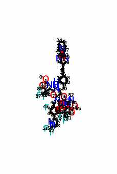 COC(=O)NC(C(=O)N[C@@H](Cc1ccc(C#Cc2cnc(N3CC4CCC(C3)N4C3COC3)nc2)cc1)[C@H](CN(Cc1c(F)cc(-c2ccn(C(F)F)n2)cc1F)NC(=O)[C@@H](NC(=O)OC)C(C)(C)C(F)(F)F)OC(=O)C(C(C)C)N(C)C)C(C)(C)C(F)(F)F